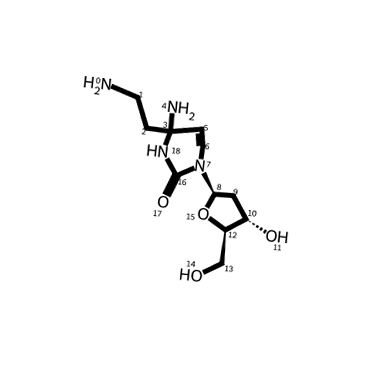 NCCC1(N)C=CN([C@H]2C[C@H](O)[C@@H](CO)O2)C(=O)N1